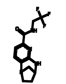 O=C(NCC(F)(F)F)c1ccc2c(n1)NC1CCN2C1